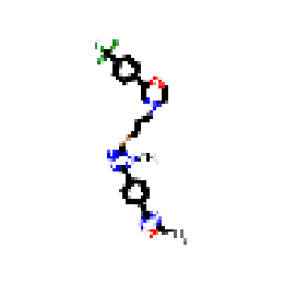 Cc1nc(-c2ccc(-c3nnc(SCCCN4CCOC(c5ccc(C(F)(F)F)cc5)C4)n3C)cc2)no1